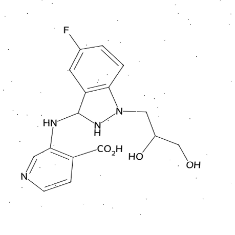 O=C(O)c1ccncc1NC1NN(CC(O)CO)c2ccc(F)cc21